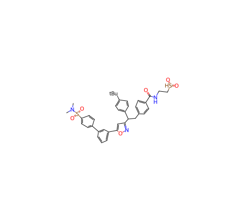 CN(C)S(=O)(=O)c1ccc(-c2cccc(-c3cc(C(Cc4ccc(C(=O)NCC[SH](=O)=O)cc4)c4ccc(C(C)(C)C)cc4)no3)c2)cc1